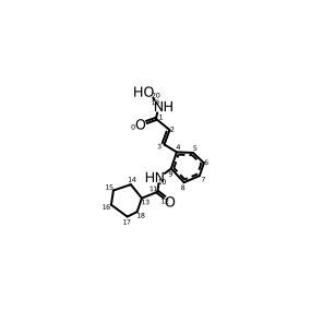 O=C(/C=C/c1ccccc1NC(=O)C1CCCCC1)NO